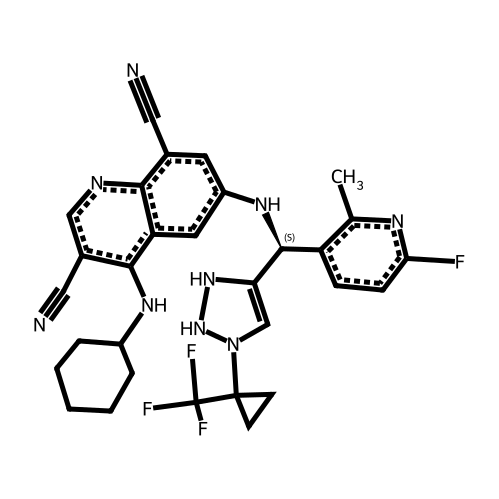 Cc1nc(F)ccc1[C@H](Nc1cc(C#N)c2ncc(C#N)c(NC3CCCCC3)c2c1)C1=CN(C2(C(F)(F)F)CC2)NN1